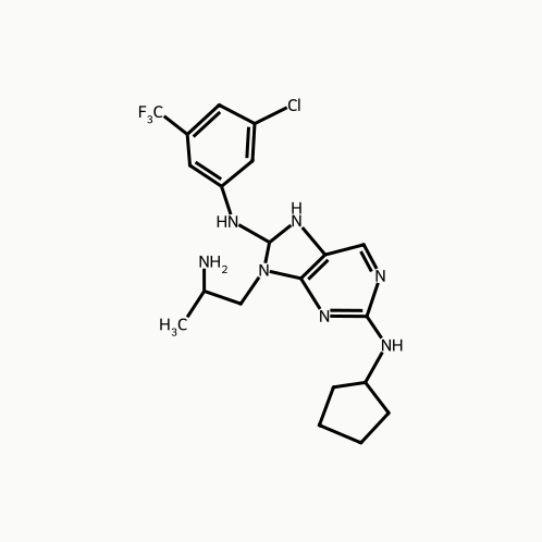 CC(N)CN1c2nc(NC3CCCC3)ncc2NC1Nc1cc(Cl)cc(C(F)(F)F)c1